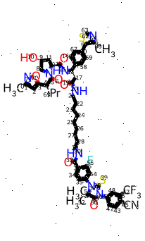 Cc1cc([C@H](C(=O)N2C[C@H](O)C[C@H]2C(=O)N[C@@H](CC(=O)NCCCCCCCCCNC(=O)c2ccc(N3C(=S)N(c4ccc(C#N)c(C(F)(F)F)c4)C(=O)C3(C)C)cc2F)c2ccc(-c3scnc3C)cc2)C(C)C)on1